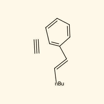 C#C.CCCCC=Cc1ccccc1